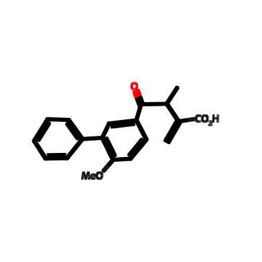 C=C(C(=O)O)C(C)C(=O)c1ccc(OC)c(-c2ccccc2)c1